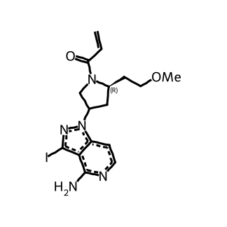 C=CC(=O)N1CC(n2nc(I)c3c(N)nccc32)C[C@@H]1CCOC